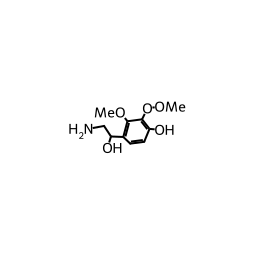 COOc1c(O)ccc(C(O)CN)c1OC